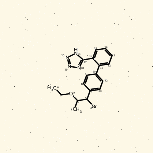 CCOC(C)C(Br)c1ccc(-c2ccccc2-c2nnn[nH]2)cc1